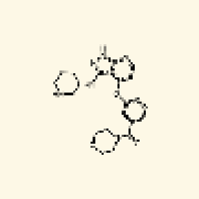 O=C(c1cccc(Oc2ccnc3[nH]nc(N[C@@H]4CCCNC4)c23)c1)N1CCOCC1